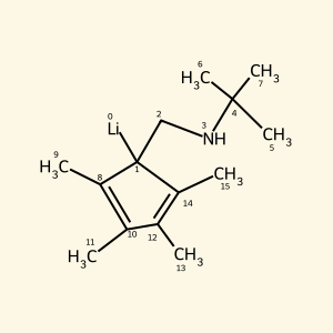 [Li][C]1(CNC(C)(C)C)C(C)=C(C)C(C)=C1C